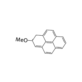 CO[C]1C=c2ccc3cccc4ccc(c2c43)C1